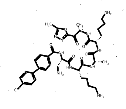 Cc1nnc(C(=O)[C@H](C)NC(=O)[C@H](CCCCN)NC(=O)[C@H](C)NC(=O)[C@H](CCCCN)NC(=O)[C@H](CN)NC(=O)c2ccc(-c3ccc(Cl)cc3)cc2)o1